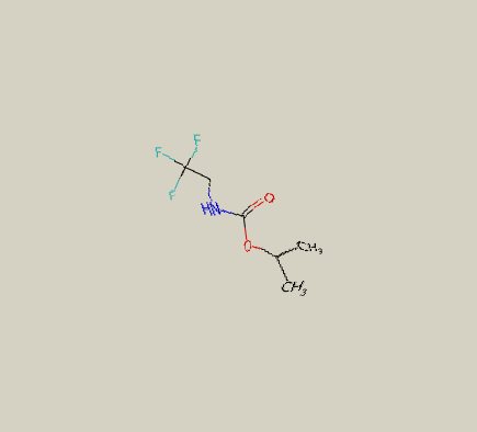 CC(C)OC(=O)NCC(F)(F)F